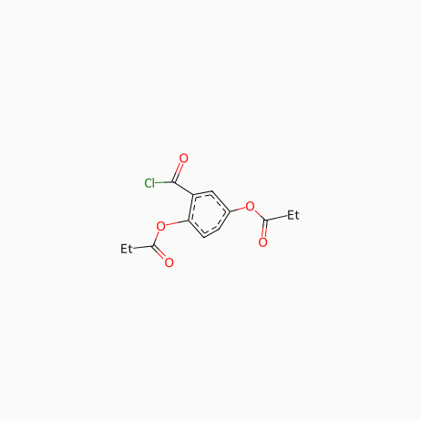 CCC(=O)Oc1ccc(OC(=O)CC)c(C(=O)Cl)c1